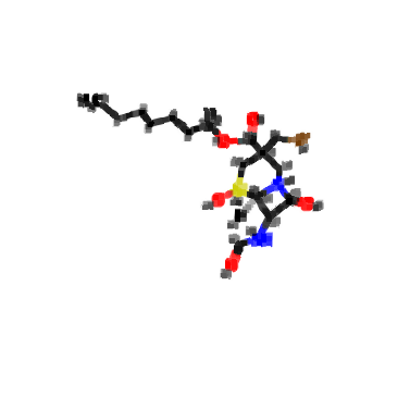 CCCCCC[SiH2]OC(=O)C1(CBr)CN2C(=O)C(NC=O)[C@H]2[S+]([O-])C1